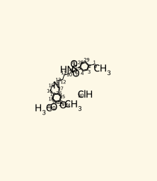 CCc1ccc(S(=O)(=O)NCCCCN2CCc3cc(OC)c(OC)cc3C2)cc1.Cl